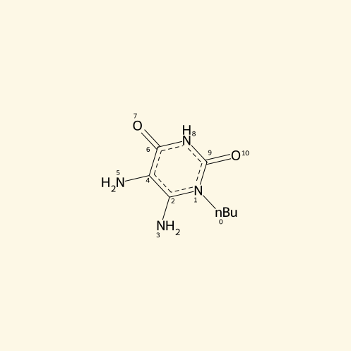 CCCCn1c(N)c(N)c(=O)[nH]c1=O